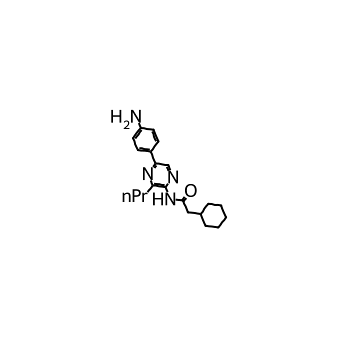 CCCc1nc(-c2ccc(N)cc2)cnc1NC(=O)CC1CCCCC1